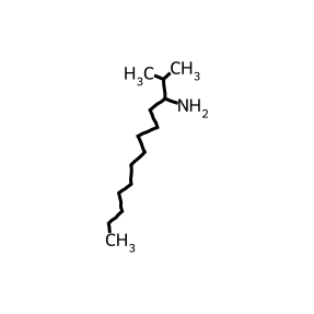 CCCCCCCCCCC(N)C(C)C